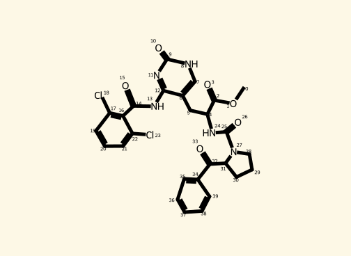 COC(=O)C(Cc1c[nH]c(=O)nc1NC(=O)c1c(Cl)cccc1Cl)NC(=O)N1CCCC1C(=O)c1ccccc1